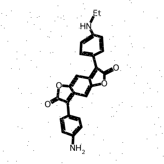 CCNc1ccc(C2=c3cc4c(cc3OC2=O)=C(c2ccc(N)cc2)C(=O)O4)cc1